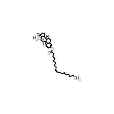 CCCCCCCC/C=C\CCCCCCCC(=O)Oc1ccc2c(c1)CC[C@@H]1[C@@H]2CC[C@]2(C)C(=O)CC[C@@H]12